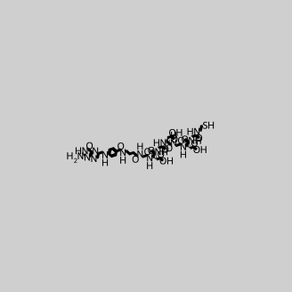 Nc1nc2ncc(CNc3ccc(C(=O)NCCCC(=O)NCC(=O)N[C@@H](CC(=O)O)C(=O)NCC(=O)N[C@@H](CC(=O)O)C(=O)NCC(=O)N[C@@H](CC(=O)O)C(=O)NCC(=O)NCCS)cc3)nc2c(=O)[nH]1